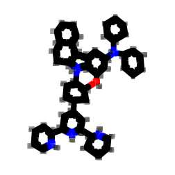 c1ccc(N(c2ccccc2)c2cc3c4c(c2)c2c5ccccc5ccc2n4-c2ccc(-c4cc(-c5ccccn5)nc(-c5ccccn5)c4)cc2O3)cc1